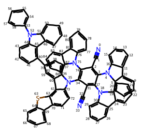 N#Cc1c(-n2c3ccccc3c3ccccc32)c(-n2c3ccccc3c3ccccc32)c(C#N)c(-n2c3ccc(-c4cccc5c4c4ccccc4n5-c4ccccc4)cc3c3c4sc5ccccc5c4ccc32)c1-n1c2ccccc2c2ccccc21